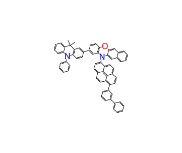 CC1(C)c2ccccc2N(c2ccccc2)c2ccc(-c3ccc4c(c3)N(c3ccc5ccc6c(-c7cccc(-c8ccccc8)c7)ccc7ccc3c5c76)c3cc5ccccc5cc3O4)cc21